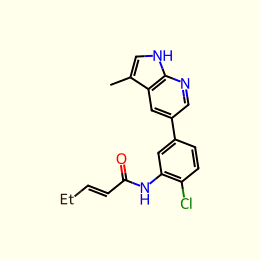 CCC=CC(=O)Nc1cc(-c2cnc3[nH]cc(C)c3c2)ccc1Cl